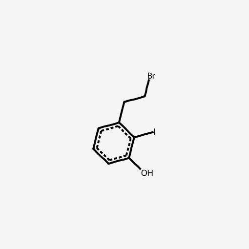 Oc1cccc(CCBr)c1I